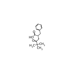 CC(C)(C)C(=O)C[C@H](Cc1ccccc1)C(=O)O